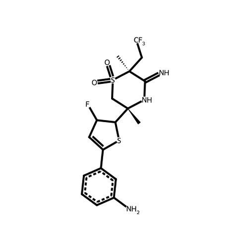 C[C@]1(CC(F)(F)F)C(=N)N[C@](C)(C2SC(c3cccc(N)c3)=CC2F)CS1(=O)=O